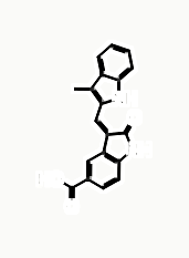 Cc1c(C=C2C(=O)Nc3ccc(C(=O)O)cc32)[nH]c2ccccc12